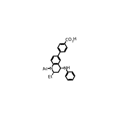 CC[C@@H]1C[C@H](Nc2ccccc2)c2cc(-c3ccc(C(=O)O)cc3)ccc2N1C(C)=O